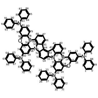 c1ccc(N(c2ccccc2)c2ccc3c(c2)Oc2cc(N(c4ccccc4)c4ccccc4)cc4c2B3c2cccc3c5c6c7cccc8c7n(c6ccc5n-4c23)-c2cc(N(c3ccccc3)c3ccccc3)cc3c2B8c2ccc(N(c4ccccc4)c4ccccc4)cc2O3)cc1